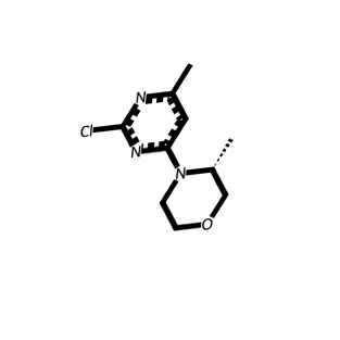 Cc1cc(N2CCOC[C@H]2C)nc(Cl)n1